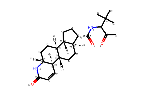 CC(=O)C(NC(=O)[C@H]1CC[C@H]2[C@@H]3CC[C@H]4NC(=O)C=C[C@]4(C)[C@H]3CC[C@]12C)C(C)(C)C